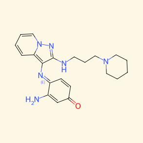 NC1=CC(=O)C=C/C1=N\c1c(NCCCN2CCCCC2)nn2ccccc12